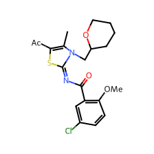 COc1ccc(Cl)cc1C(=O)N=c1sc(C(C)=O)c(C)n1CC1CCCCO1